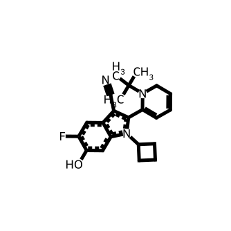 CC(C)(C)N1CC=CC=C1c1c(C#N)c2cc(F)c(O)cc2n1C1CCC1